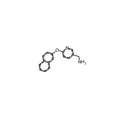 NCc1ccc(Oc2ccc3ccccc3c2)nc1